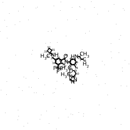 C=C[C@@H](C)Nc1cc(C[C@H](Cc2nncn2C)OC)cc(N2Cc3c(cc(CNC4(C)CCC4)cc3C(F)(F)F)C2=O)c1